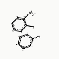 Cc1ccccc1.Cc1ccccc1S(=O)(=O)O